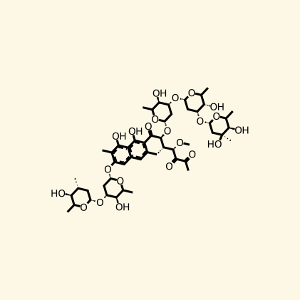 CO[C@H](C(=O)C(C)=O)[C@@H]1Cc2cc3cc(O[C@H]4C[C@@H](O[C@H]5C[C@@H](C)[C@H](O)C(C)O5)[C@H](O)C(C)O4)c(C)c(O)c3c(O)c2C(=O)[C@H]1O[C@H]1C[C@@H](O[C@H]2C[C@@H](O[C@H]3C[C@](C)(O)[C@H](O)C(C)O3)[C@@H](O)C(C)O2)[C@H](O)C(C)O1